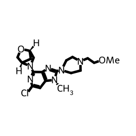 COCCN1CCN(c2nc3c(N4C[C@@H]5C[C@H]4CO5)nc(Cl)cc3n2C)CC1